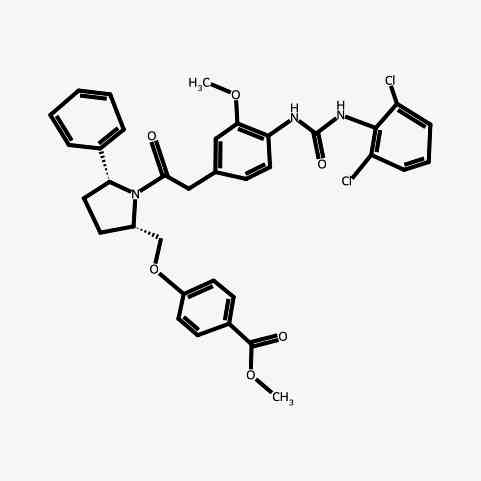 COC(=O)c1ccc(OC[C@@H]2CC[C@H](c3ccccc3)N2C(=O)Cc2ccc(NC(=O)Nc3c(Cl)cccc3Cl)c(OC)c2)cc1